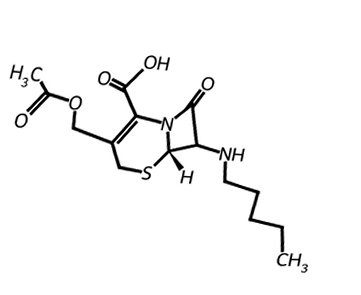 CCCCCNC1C(=O)N2C(C(=O)O)=C(COC(C)=O)CS[C@@H]12